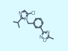 Cc1nc(-c2cccc(Cn3c(Cl)cnc3C(C)C)c2)no1